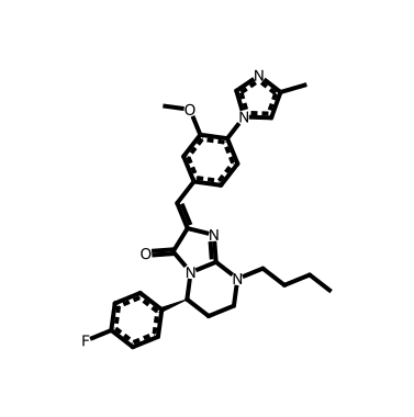 CCCCN1CC[C@@H](c2ccc(F)cc2)N2C(=O)/C(=C/c3ccc(-n4cnc(C)c4)c(OC)c3)N=C12